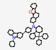 c1ccc(-n2c3ccccc3c3cc(-c4ccc(N(c5ccc6c(ccc7c8ccccc8oc67)c5)c5cccc6c5-c5ccccc5C6(c5ccccc5)c5ccccc5)cc4)ccc32)cc1